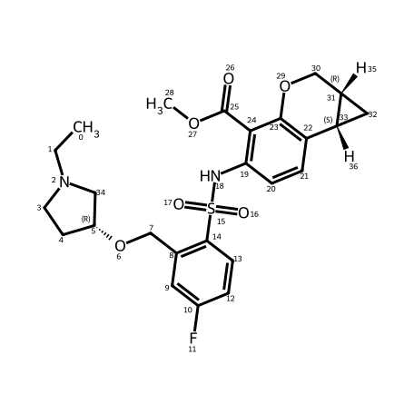 CCN1CC[C@@H](OCc2cc(F)ccc2S(=O)(=O)Nc2ccc3c(c2C(=O)OC)OC[C@@H]2C[C@H]32)C1